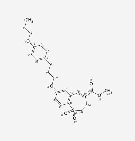 CCCOc1ccc(CCCOc2ccc3c(c2)C=C(C(=O)OC)CCS3(=O)=O)cc1